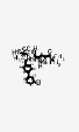 CN(C)C(=O)c1cc(C(=O)NN(Cc2ccc(-c3cccc(Cl)c3)cc2)C[C@@](C)(O)C(=O)O)[nH]n1